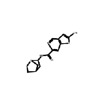 N#Cc1cc2cnc(C(=O)NC3CC4CCN3C4)cc2s1